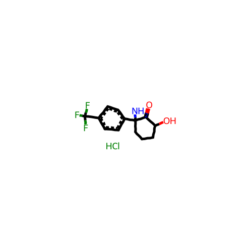 Cl.NC1(c2ccc(C(F)(F)F)cc2)CCCC(O)C1=O